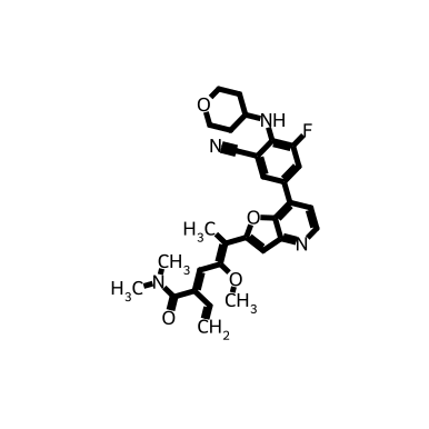 C=C/C(=C\C(OC)=C(/C)c1cc2nccc(-c3cc(F)c(NC4CCOCC4)c(C#N)c3)c2o1)C(=O)N(C)C